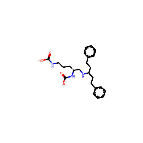 O=C(O)NCCC[C@@H](CNC(CCc1ccccc1)CCc1ccccc1)NC(=O)O